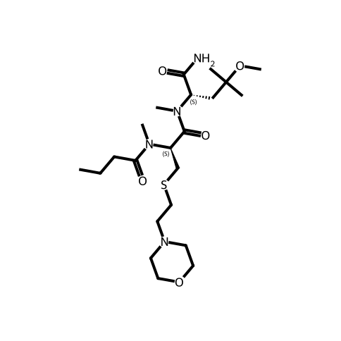 CCCC(=O)N(C)[C@H](CSCCN1CCOCC1)C(=O)N(C)[C@@H](CC(C)(C)OC)C(N)=O